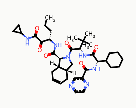 CCC[C@H](NC(=O)[C@@H]1[C@H]2CC=CC[C@H]2CN1C(=O)[C@@H](NC(=O)[C@@H](NC(=O)c1cnccn1)C1CCCCC1)C(C)(C)C)C(=O)C(=O)NC1CC1